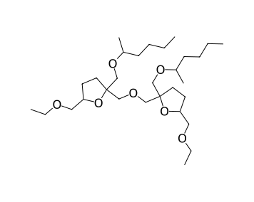 CCCCC(C)OCC1(COCC2(COC(C)CCCC)CCC(COCC)O2)CCC(COCC)O1